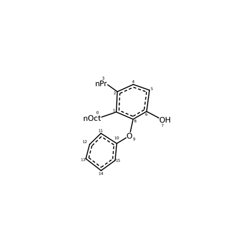 CCCCCCCCc1c(CCC)ccc(O)c1Oc1ccccc1